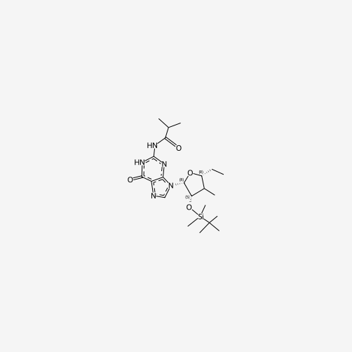 CC[C@H]1O[C@@H](n2cnc3c(=O)[nH]c(NC(=O)C(C)C)nc32)[C@@H](O[Si](C)(C)C(C)(C)C)C1C